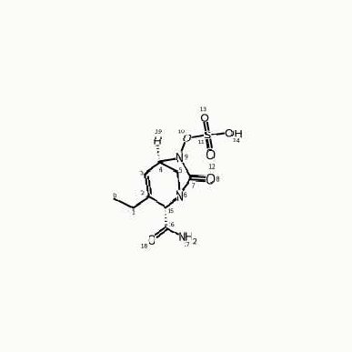 CCC1=C[C@@H]2CN(C(=O)N2OS(=O)(=O)O)[C@@H]1C(N)=O